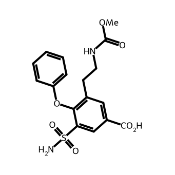 COC(=O)NCCc1cc(C(=O)O)cc(S(N)(=O)=O)c1Oc1ccccc1